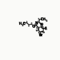 CCCCOc1nc(CC)nc2c(F)cc(Br)cc12